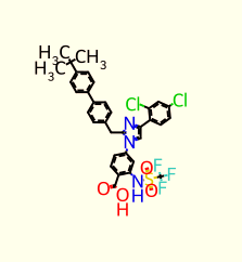 CC(C)(C)c1ccc(-c2ccc(Cc3nc(-c4ccc(Cl)cc4Cl)cn3-c3ccc(C(=O)O)c(NS(=O)(=O)C(F)(F)F)c3)cc2)cc1